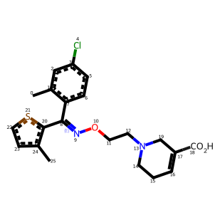 Cc1cc(Cl)ccc1/C(=N\OCCN1CCC=C(C(=O)O)C1)c1sccc1C